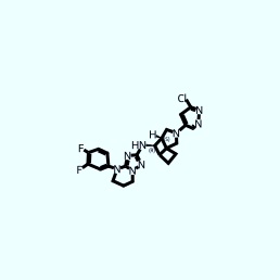 Fc1ccc(N2CCCn3nc(N[C@@H]4C5CCC56CN(c5cnnc(Cl)c5)C[C@@H]46)nc32)cc1F